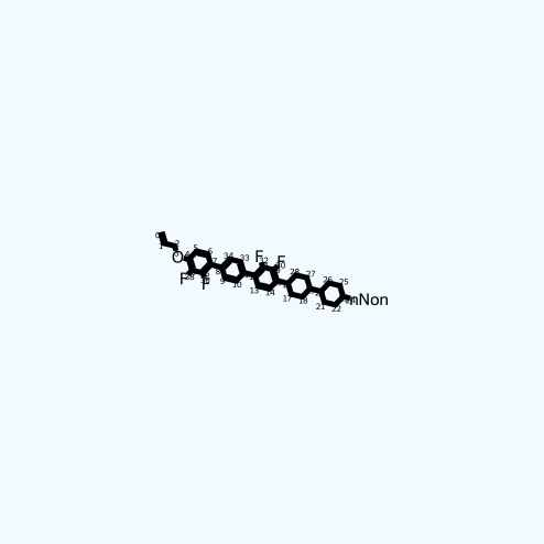 C=CCOc1ccc(-c2ccc(-c3ccc(C4CCC(C5CCC(CCCCCCCCC)CC5)CC4)c(F)c3F)cc2)c(F)c1F